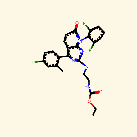 CCOC(=O)NCCNc1nc(-c2ccc(F)cc2C)c2ccc(=O)n(-c3c(F)cccc3F)c2n1